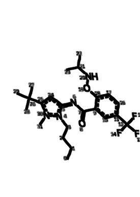 CCCCn1c(=NC(=O)c2cc(C(F)(F)F)ccc2ONC(C)C)cc(C(C)(C)C)n1C